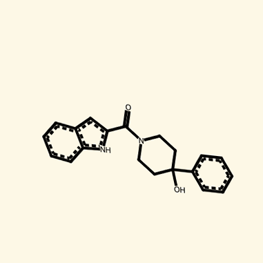 O=C(c1cc2ccccc2[nH]1)N1CCC(O)(c2ccccc2)CC1